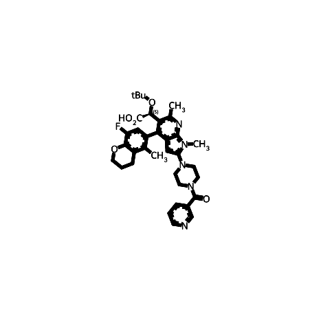 Cc1nc2c(cc(N3CCN(C(=O)c4cccnc4)CC3)n2C)c(-c2cc(F)c3c(c2C)CCCO3)c1[C@H](OC(C)(C)C)C(=O)O